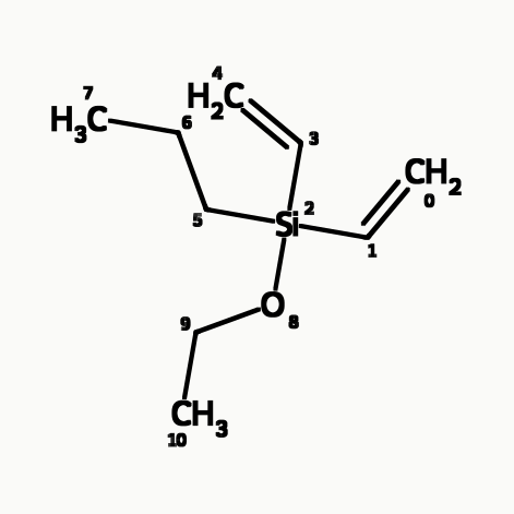 C=C[Si](C=C)(CCC)OCC